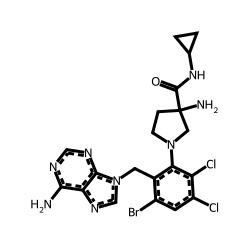 Nc1ncnc2c1ncn2Cc1c(Br)cc(Cl)c(Cl)c1N1CCC(N)(C(=O)NC2CC2)C1